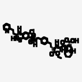 CCOC(=O)[C@H](CCc1ccc(CNS(=O)(=O)c2cc3c(cc2Cl)NC(CCc2ccccn2)NS3)cc1)NC(C)C(=O)N1[C@@H]2CCCC[C@@H]2C[C@H]1C(=O)O